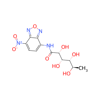 C[C@@H](O)[C@@H](O)[C@H](O)[C@@H](O)C(=O)Nc1ccc([N+](=O)[O-])c2nonc12